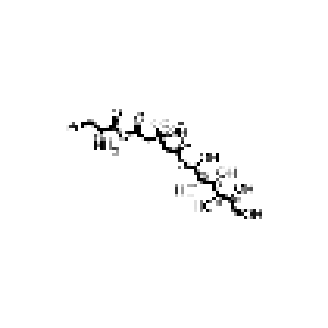 CC(C)C[C@H](N)C(=O)OC(=O)CC(O)(CC(=O)OC(O)[C@@H](O)[C@@H](O)[C@H](O)[C@H](O)CO)C(=O)O